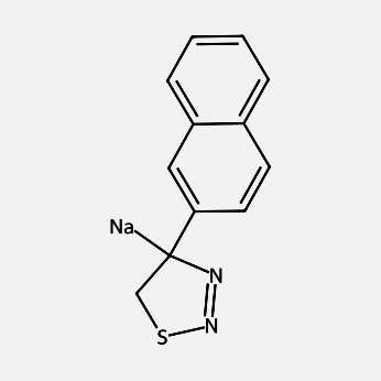 [Na][C]1(c2ccc3ccccc3c2)CSN=N1